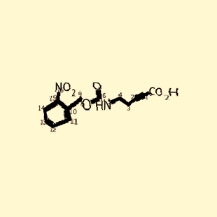 O=C(O)C#CCCNC(=O)OCc1ccccc1[N+](=O)[O-]